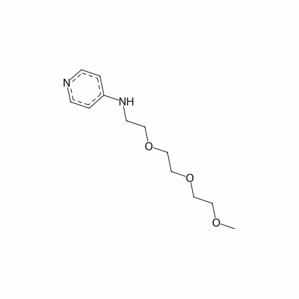 COCCOCCOCCNc1ccncc1